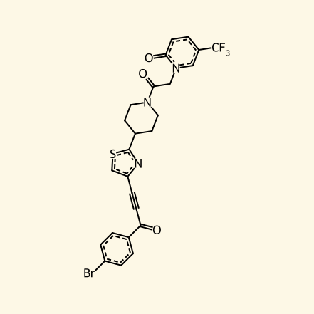 O=C(C#Cc1csc(C2CCN(C(=O)Cn3cc(C(F)(F)F)ccc3=O)CC2)n1)c1ccc(Br)cc1